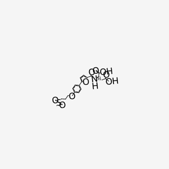 CS(=O)(=O)CCCOc1ccc(-c2ccc(C(=O)N[C@@H](CC(=O)O)C(=O)O)o2)cc1